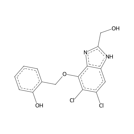 OCc1nc2c(OCc3ccccc3O)c(Cl)c(Cl)cc2[nH]1